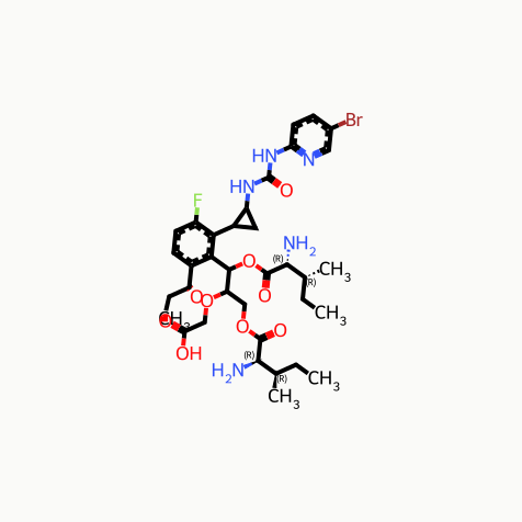 CCC(=O)c1ccc(F)c(C2CC2NC(=O)Nc2ccc(Br)cn2)c1C(OC(=O)[C@H](N)[C@H](C)CC)C(COC(=O)[C@H](N)[C@H](C)CC)OCC(=O)O